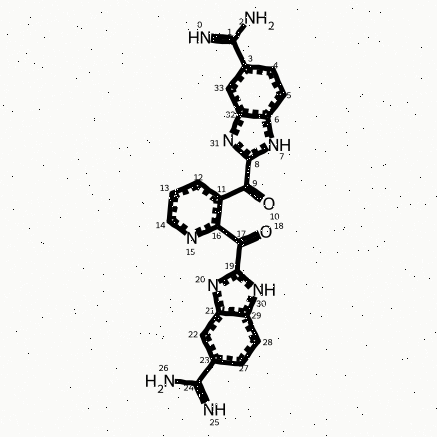 N=C(N)c1ccc2[nH]c(C(=O)c3cccnc3C(=O)c3nc4cc(C(=N)N)ccc4[nH]3)nc2c1